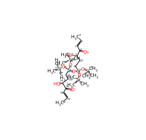 CC=CC(=O)C(O)CC[Si](O[Si](C)(C)C)(O[Si](C)(C)C)O[Si](CCC(O)C(=O)C=CC)(O[Si](C)(C)C)O[Si](C)(C)C